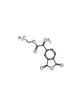 C=C(C(=O)OCC)c1ccc2c(c1)C(=O)OC2=O